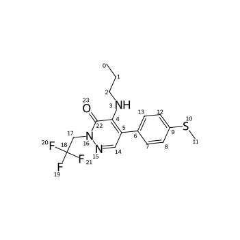 CCCNc1c(-c2ccc(SC)cc2)cnn(CC(F)(F)F)c1=O